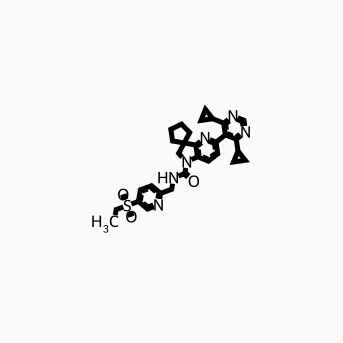 CCS(=O)(=O)c1ccc(CNC(=O)N2CC3(CCCC3)c3nc(-c4c(C5CC5)ncnc4C4CC4)ccc32)nc1